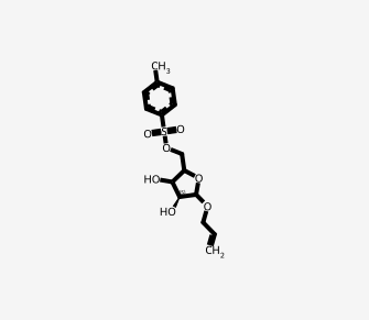 C=CCOC1OC(COS(=O)(=O)c2ccc(C)cc2)C(O)[C@@H]1O